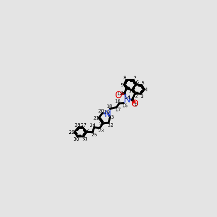 O=C1c2cccc3cccc(c23)C(=O)N1CCCCN1CC=C(CCCc2ccccc2)CC1